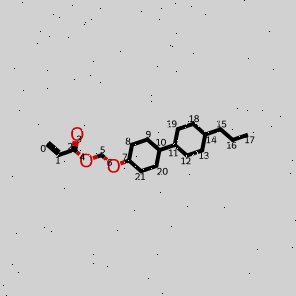 C=CC(=O)OCOC1CCC(C2CCC(CCC)CC2)CC1